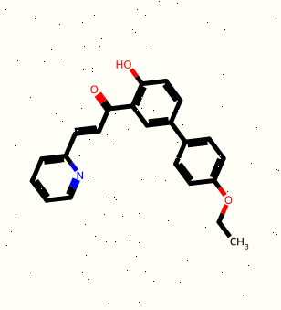 CCOc1ccc(-c2ccc(O)c(C(=O)C=Cc3ccccn3)c2)cc1